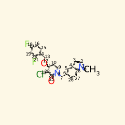 Cn1ccc2cc(Cn3ccc(OCc4ccc(F)cc4F)c(Cl)c3=O)ccc21